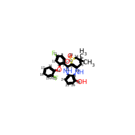 CC1(C)CC2=C(C(c3ccc(F)cc3Oc3ccccc3F)Nc3cccc(O)c3N2)S(=O)(=O)C1